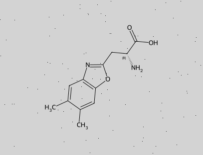 Cc1cc2nc(C[C@@H](N)C(=O)O)oc2cc1C